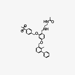 CC(=O)NCCNCc1ccc(OCc2cccc(-c3ccccc3)c2C)cc1OCc1ccc(S(C)(=O)=O)cc1